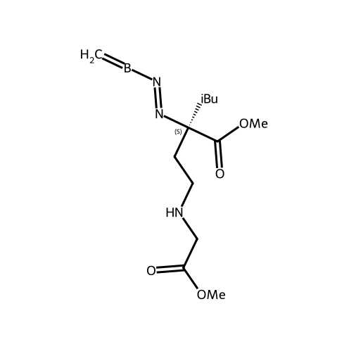 C=BN=N[C@](CCNCC(=O)OC)(C(=O)OC)C(C)CC